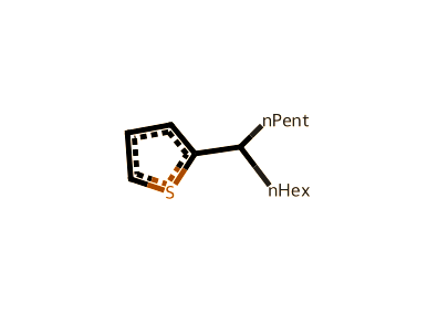 CCCCCCC(CCCCC)c1cccs1